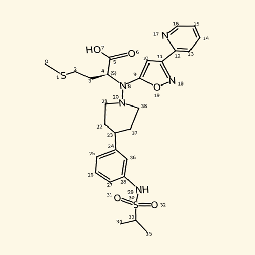 CSCC[C@@H](C(=O)O)N(c1cc(-c2ccccn2)no1)N1CCC(c2cccc(NS(=O)(=O)C(C)C)c2)CC1